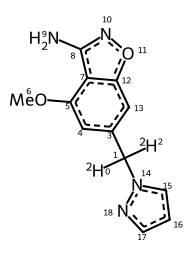 [2H]C([2H])(c1cc(OC)c2c(N)noc2c1)n1cccn1